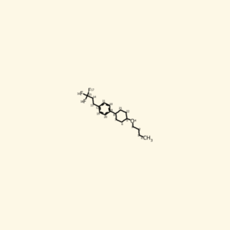 CCCCOC1CCC(c2ccc(CCC(F)(F)F)cc2)CC1